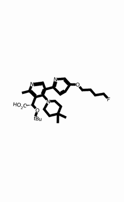 Cc1ncc(-c2ccc(OCCCCF)cn2)c(N2CCC(C)(C)CC2)c1[C@H](OC(C)(C)C)C(=O)O